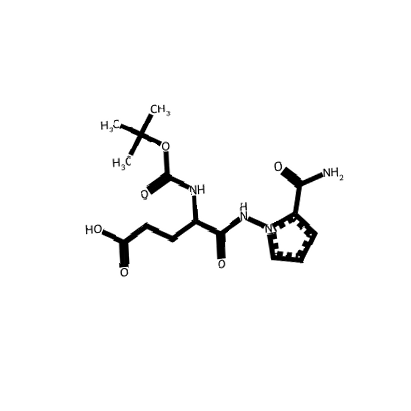 CC(C)(C)OC(=O)NC(CCC(=O)O)C(=O)Nn1cccc1C(N)=O